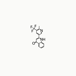 Cc1ncc(-c2cc(=O)c3ccccc3[nH]2)cc1C(F)(F)F